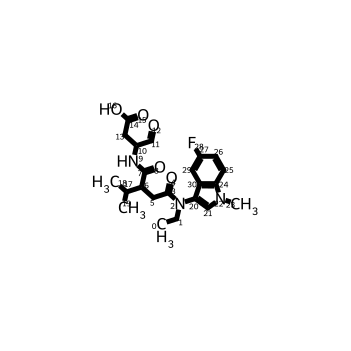 CCN(C(=O)CC(C(=O)NC(C=O)CC(=O)O)C(C)C)c1cn(C)c2ccc(F)cc12